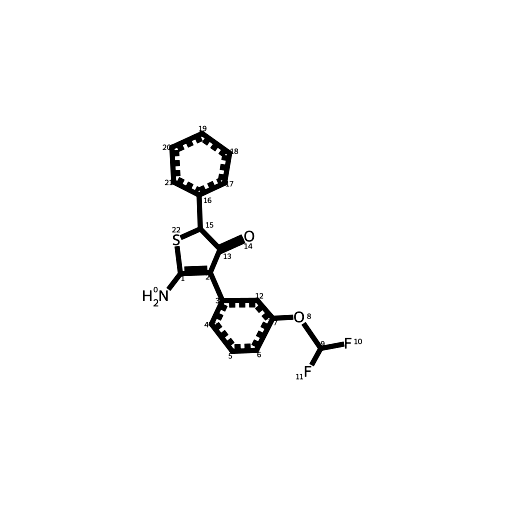 NC1=C(c2cccc(OC(F)F)c2)C(=O)C(c2ccccc2)S1